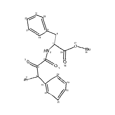 CC(C)C(C(=O)C(=O)NC(Cc1ccccc1)C(=O)OC(C)(C)C)c1ccccc1